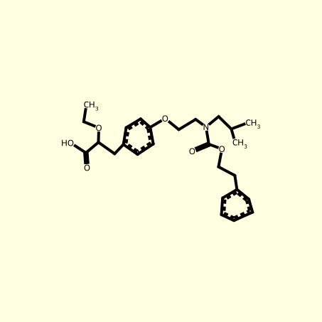 CCOC(Cc1ccc(OCCN(CC(C)C)C(=O)OCCc2ccccc2)cc1)C(=O)O